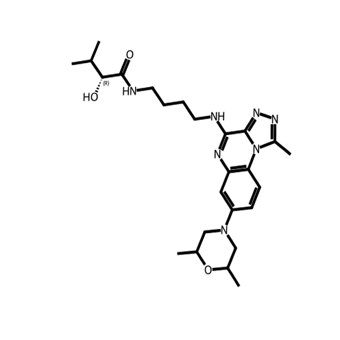 Cc1nnc2c(NCCCCNC(=O)[C@H](O)C(C)C)nc3cc(N4CC(C)OC(C)C4)ccc3n12